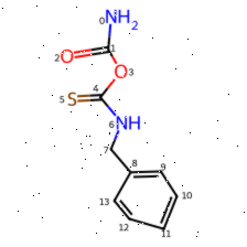 NC(=O)OC(=S)NCc1ccccc1